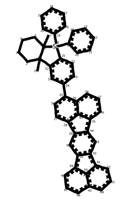 CC12CCCCC1(C)[Si](c1ccccc1)(c1ccccc1)c1ccc(-c3ccc4c5cc6c(cc5c5cccc3c54)c3cccc4cccc6c43)cc12